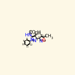 Cc1cc(-c2nn(-c3ccccc3)c(NC(=O)O)c2C)no1